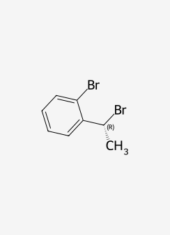 C[C@@H](Br)c1ccccc1Br